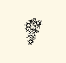 CC(C)(C)OC(=O)N1CCc2ccc(C3(NC(=O)[C@@H]4C[C@]5(C)C[C@@H]5N4C(=O)CNC(=O)CCCOc4ccccc4)CC3)cc2C1